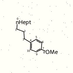 CCCCCCCCCCc1ccc(OC)cc1